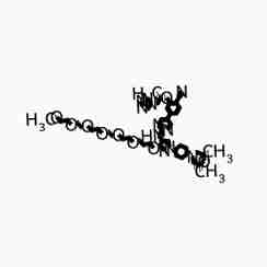 COCCOCCOCCOCCOCCOCCCOc1nn(C2CCC(N3C[C@@H](C)O[C@@H](C)C3)CC2)cc1Nc1ncc(-c2ccc(C#N)c(O[C@@H](C)Cn3cnnn3)c2)cn1